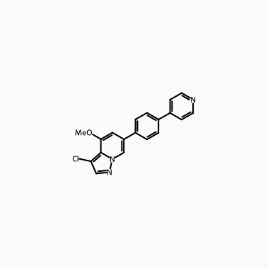 COc1cc(-c2ccc(-c3ccncc3)cc2)cn2ncc(Cl)c12